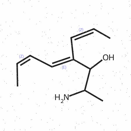 C\C=C/C=C(\C=C/C)C(O)C(C)N